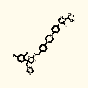 CC(C#N)n1ncn(-c2ccc(N3CCN(c4ccc(CSC5OCC(Cn6cncn6)(c6ccc(F)cc6F)O5)cc4)CC3)cc2)c1=O